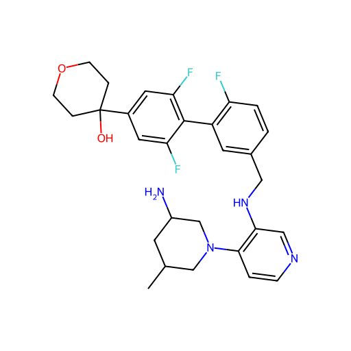 CC1CC(N)CN(c2ccncc2NCc2ccc(F)c(-c3c(F)cc(C4(O)CCOCC4)cc3F)c2)C1